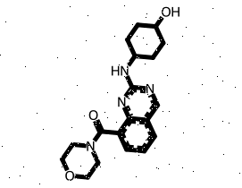 O=C(c1cccc2cnc(NC3CCC(O)CC3)nc12)N1CCOCC1